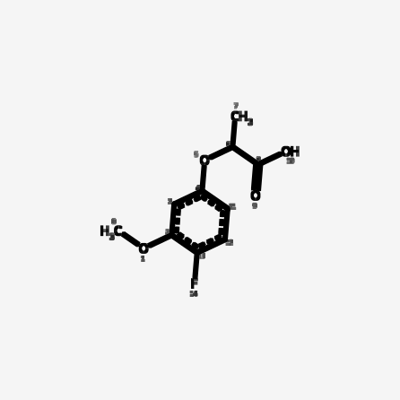 COc1cc(OC(C)C(=O)O)ccc1F